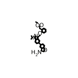 CCOC(=O)Cc1ccccc1OCc1nn(C(C)C)c2ccc(-c3ccc4c(c3)C(N)CO4)cc12